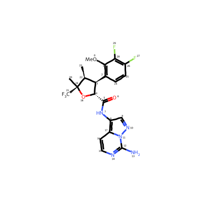 COc1c([C@H]2[C@H](C(=O)Nc3cnn4c(N)nccc34)O[C@@](C)(C(F)(F)F)[C@H]2C)ccc(F)c1F